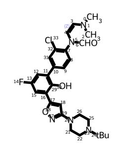 CN(C)/C=C\N(C=O)c1ccc(-c2cc(F)cc(-c3cc(N4CCN(C(C)(C)C)CC4)no3)c2O)cc1Cl